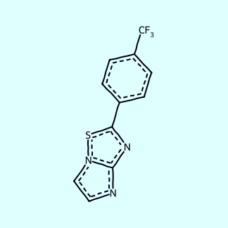 FC(F)(F)c1ccc(-c2nc3nccn3s2)cc1